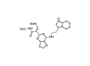 CN/C=C(\C(=O)NC=O)c1nc(NCCc2c[nH]c3ccccc23)c2ncsc2n1